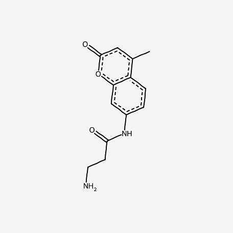 Cc1cc(=O)oc2cc(NC(=O)CCN)ccc12